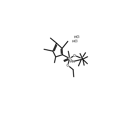 Cl.Cl.[CH2]=[Ti]([CH3])([NH]C(C)(C)C)([O]CC)([O][Si](C)(C)C)[C]1=C(C)C(C)=C(C)C1C